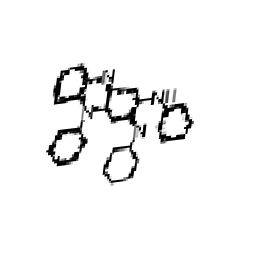 c1ccc(Nc2cc3nc4ccccc4n(-c4ccccc4)c-3cc2=NC2CCCCC2)cc1